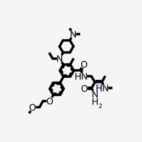 CCN(c1cc(-c2ccc(OCCOC)cc2)cc(C(=O)NC/C(C(N)=O)=C(\C)NC)c1C)C1CCC(N(C)C)CC1